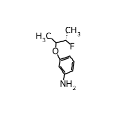 CC(Oc1cccc(N)c1)[C@H](C)F